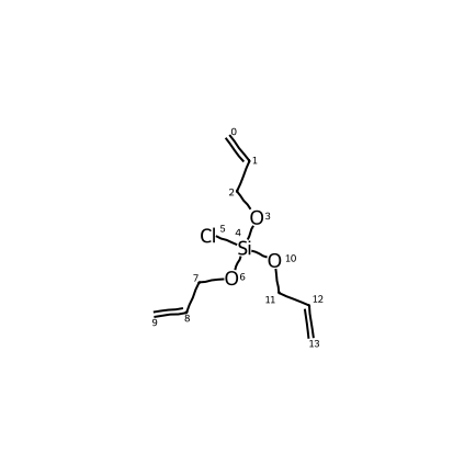 C=CCO[Si](Cl)(OCC=C)OCC=C